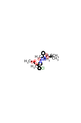 CCOC(=O)CO[C@@](C)(c1cccc(Cl)c1)[C@@H]1CCCN(C(=O)NC(C)C(C2CCCCC2)N(C)C(=O)OCC[Si](C)(C)C)C1